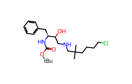 CC(C)(CCCCCl)CNC[C@H](O)[C@H](Cc1ccccc1)NC(=O)OC(C)(C)C